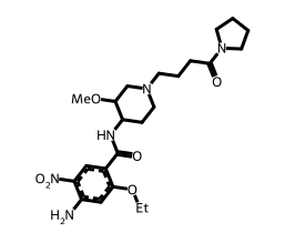 CCOc1cc(N)c([N+](=O)[O-])cc1C(=O)NC1CCN(CCCC(=O)N2CCCC2)CC1OC